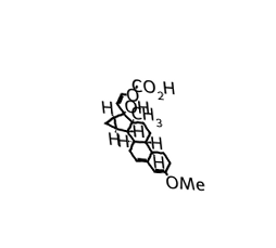 COC1=CC2=CC[C@@H]3[C@H](CC[C@@]4(C)[C@H]3[C@H]3C[C@H]3[C@@]4(O)/C=C\OC(=O)O)[C@H]2CC1